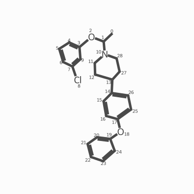 CC(Oc1cccc(Cl)c1)N1CCC(c2ccc(Oc3ccccc3)cc2)CC1